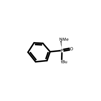 CN[P@@](=O)(c1ccccc1)C(C)(C)C